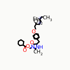 C=C(/C=C\C(=C/C)CC)CCOc1ccc(CC2NC(=C)N(COC(=O)C3CCCCC3)C2=O)cc1